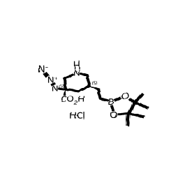 CC1(C)OB(CC[C@@H]2CNC[C@](N=[N+]=[N-])(C(=O)O)C2)OC1(C)C.Cl